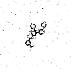 CC1(N2CCOCC2)NC=C(NC(=O)c2cccc(C(F)F)c2)C=C1c1ccnc(N2CCOCC2)c1